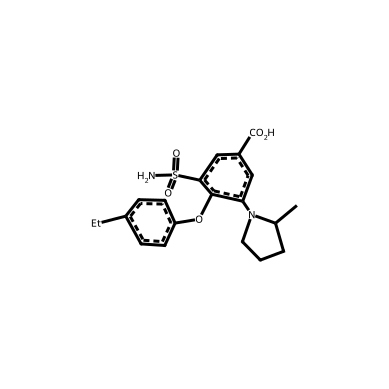 CCc1ccc(Oc2c(N3CCCC3C)cc(C(=O)O)cc2S(N)(=O)=O)cc1